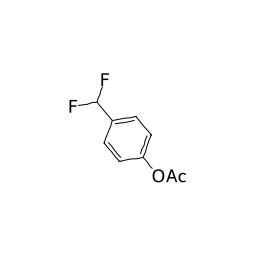 CC(=O)Oc1ccc(C(F)F)cc1